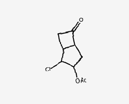 CC(=O)OC1CC2C(=O)CC2C1Cl